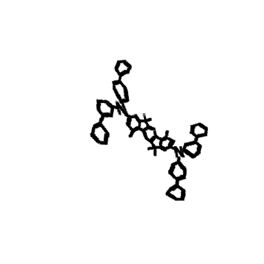 Cc1cc(N(c2ccc(-c3ccccc3)cc2)c2cccc(-c3ccccc3)c2)cc2c1-c1cc3c(cc1C2(C)C)-c1c(C)cc(N(c2ccc(-c4ccccc4)cc2)c2cccc(-c4ccccc4)c2)cc1C3(C)C